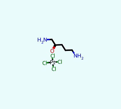 NCCCC(=O)CN.[Cl][Pt]([Cl])([Cl])[Cl]